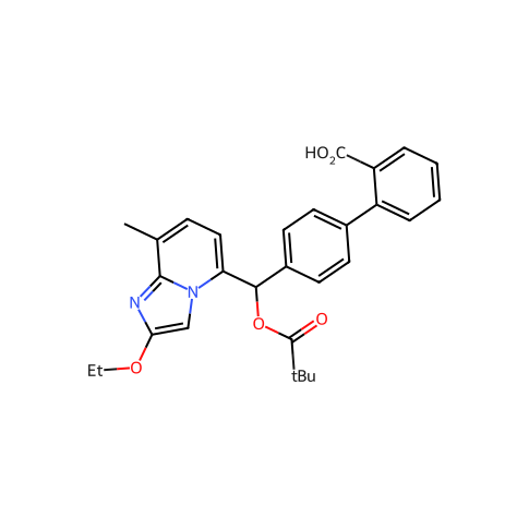 CCOc1cn2c(C(OC(=O)C(C)(C)C)c3ccc(-c4ccccc4C(=O)O)cc3)ccc(C)c2n1